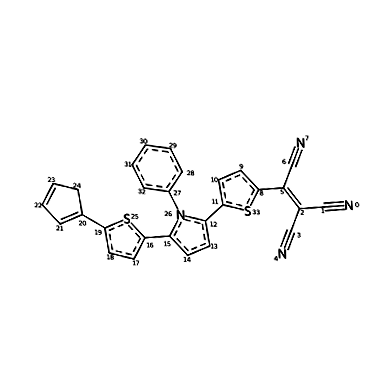 N#CC(C#N)=C(C#N)c1ccc(-c2ccc(-c3ccc(C4=CC=CC4)s3)n2-c2ccccc2)s1